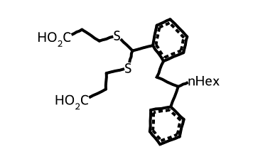 CCCCCCC(Cc1ccccc1C(SCCC(=O)O)SCCC(=O)O)c1ccccc1